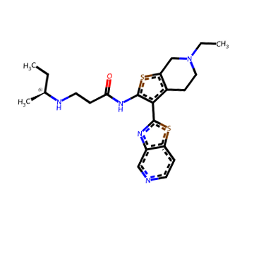 CC[C@H](C)NCCC(=O)Nc1sc2c(c1-c1nc3cnccc3s1)CCN(CC)C2